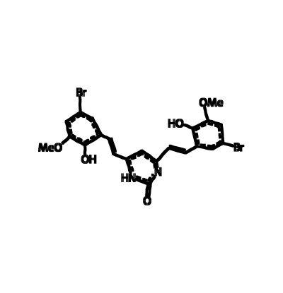 COc1cc(Br)cc(C=Cc2cc(C=Cc3cc(Br)cc(OC)c3O)[nH]c(=O)n2)c1O